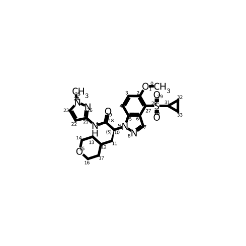 COc1ccc2c(cnn2[C@@H](CC2CCOCC2)C(=O)Nc2ccn(C)n2)c1S(=O)(=O)C1CC1